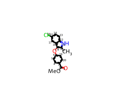 COC(=O)c1ccc(Oc2c(C)[nH]c3ccc(Cl)cc23)cc1